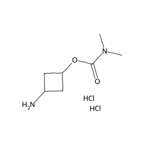 CN(C)C(=O)OC1CC(N)C1.Cl.Cl